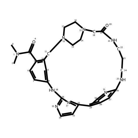 CN(C)C(=O)c1ccc2cc1CN1CCN(CC1)CC(=O)NCCCNc1ccc(cn1)-c1ccnc(n1)N2